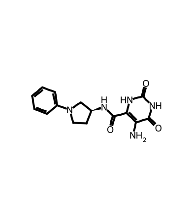 Nc1c(C(=O)N[C@H]2CCN(c3ccccc3)C2)[nH]c(=O)[nH]c1=O